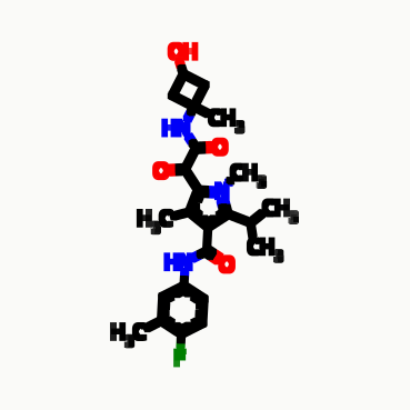 Cc1cc(NC(=O)c2c(C)c(C(=O)C(=O)NC3(C)CC(O)C3)n(C)c2C(C)C)ccc1F